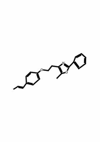 C/C=C/c1ccc(OCCc2nc(-c3ccccc3)oc2C)cc1